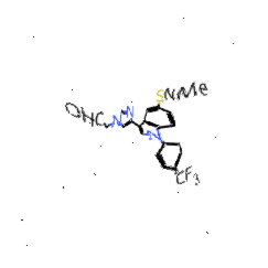 CNSc1ccc2c(c1)c(-c1cn(CC=O)cn1)cn2-c1ccc(C(F)(F)F)cc1